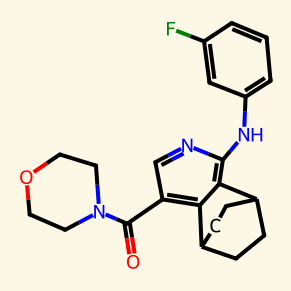 O=C(c1cnc(Nc2cccc(F)c2)c2c1C1CCC2CC1)N1CCOCC1